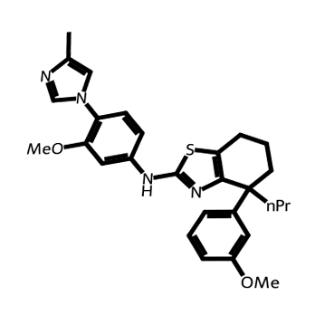 CCCC1(c2cccc(OC)c2)CCCc2sc(Nc3ccc(-n4cnc(C)c4)c(OC)c3)nc21